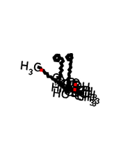 CCCCCCCCCCC[C@H](CC(=O)N[C@H]1C(O)O[C@H](CO[Si](C)(C)C(C)(C)C)[C@@H](OS(=O)(=O)O)[C@@H]1OC(=O)CCCCCCCCc1ccccc1)OC(=O)CCCCCCCCc1ccccc1